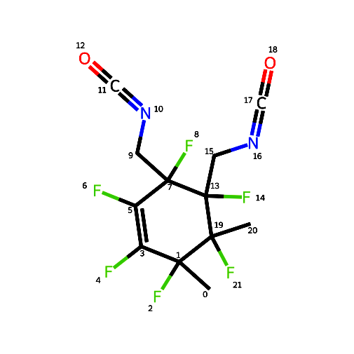 CC1(F)C(F)=C(F)C(F)(CN=C=O)C(F)(CN=C=O)C1(C)F